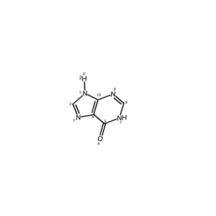 [2H]n1cnc2c(=O)[nH]cnc21